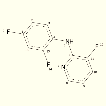 Fc1ccc(Nc2ncccc2F)c(F)c1